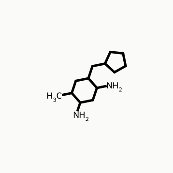 CC1CC(CC2CCCC2)C(N)CC1N